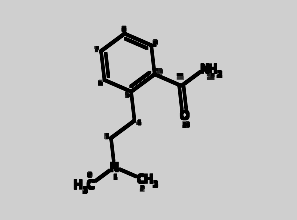 CN(C)CCc1ccc[c]c1C(N)=O